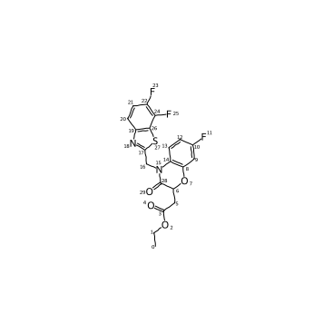 CCOC(=O)CC1Oc2cc(F)ccc2N(Cc2nc3ccc(F)c(F)c3s2)C1=O